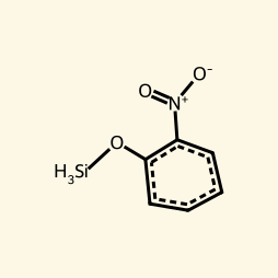 O=[N+]([O-])c1ccccc1O[SiH3]